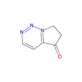 O=C1CC[n+]2nnccc21